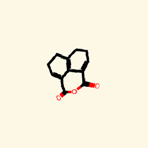 O=C1OC(=O)C2=CCCC3=C2C1=CCC3